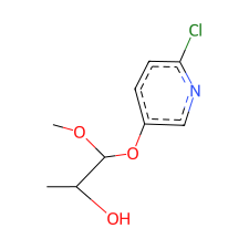 COC(Oc1ccc(Cl)nc1)C(C)O